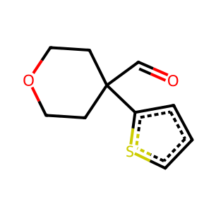 O=CC1(c2cccs2)CCOCC1